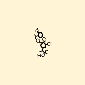 COc1ccc(Oc2c(Cl)cc(C(C)C(=O)O)cc2Cl)cc1C(C)C